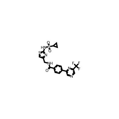 O=C(NCc1csc(NS(=O)(=O)C2CC2)n1)c1ccc(-c2cncc(C(F)(F)F)n2)cc1